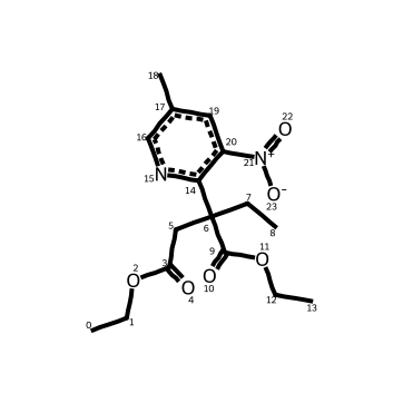 CCOC(=O)CC(CC)(C(=O)OCC)c1ncc(C)cc1[N+](=O)[O-]